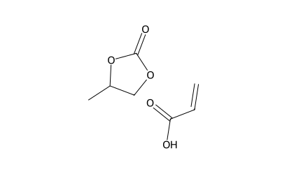 C=CC(=O)O.CC1COC(=O)O1